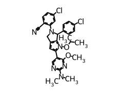 COc1nc(N(C)C)ncc1-c1cc2c(n1OC(C)C)C(c1ccc(Cl)cc1)N(c1cc(Cl)ccc1C#N)C2